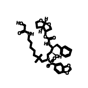 CC(C)(CCCCCNC(=O)CO)CN(C[C@@H](O)[C@H](Cc1ccccc1)NC(=O)OC1CO[C@H]2OCC[C@@H]12)S(=O)(=O)c1ccc2c(c1)OCO2